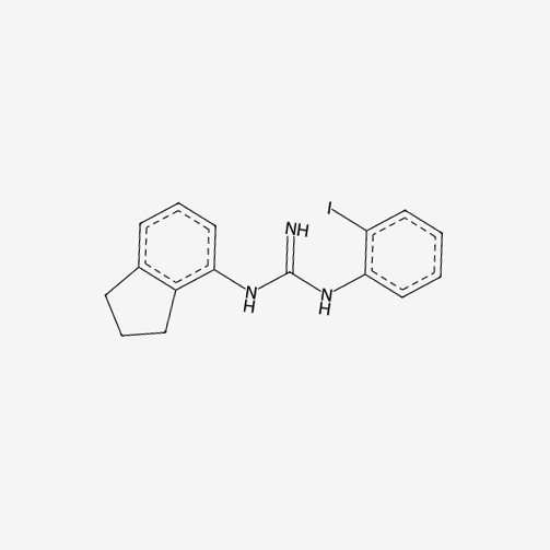 N=C(Nc1ccccc1I)Nc1cccc2c1CCC2